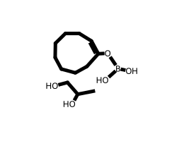 CC(O)CO.OB(O)OC1=CCCCCCCC1